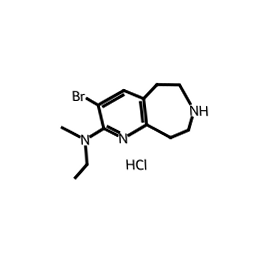 CCN(C)c1nc2c(cc1Br)CCNCC2.Cl